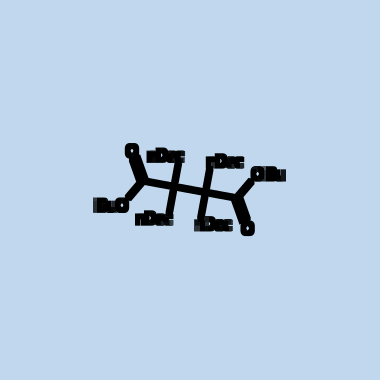 CCCCCCCCCCC(CCCCCCCCCC)(C(=O)OCC(C)C)C(CCCCCCCCCC)(CCCCCCCCCC)C(=O)OCC(C)C